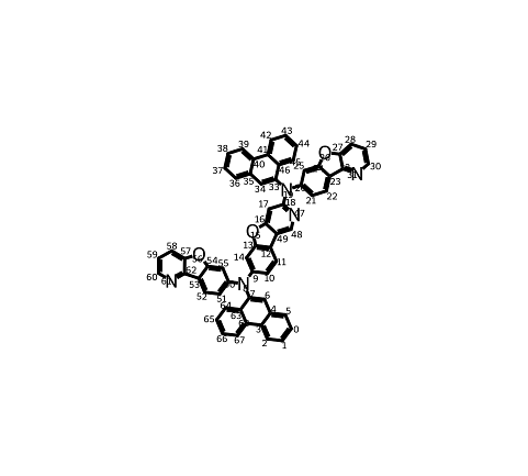 c1ccc2c(c1)cc(N(c1ccc3c(c1)oc1cc(N(c4ccc5c(c4)oc4cccnc45)c4cc5ccccc5c5ccccc45)ncc13)c1ccc3c(c1)oc1cccnc13)c1ccccc12